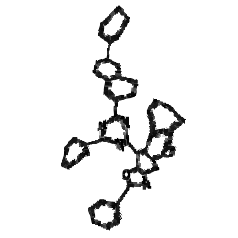 c1ccc(-c2ccc3cc(-c4nc(-c5ccccc5)nc(-c5c6oc(-c7ccccc7)nc6cc6oc7ccccc7c56)n4)ccc3c2)cc1